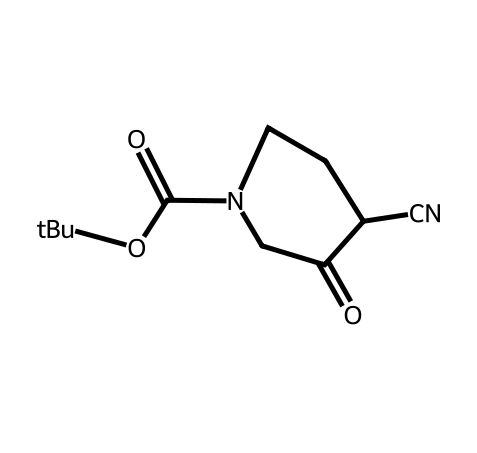 CC(C)(C)OC(=O)N1CCC(C#N)C(=O)C1